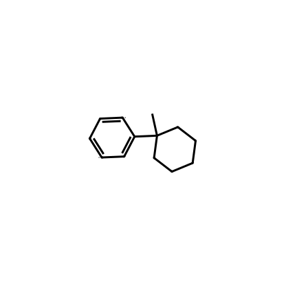 CC1(c2[c]cc[c]c2)CCCCC1